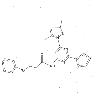 Cc1cc(C)n(-c2cc(NC(=O)CCOc3ccccc3)nc(-c3ccco3)n2)n1